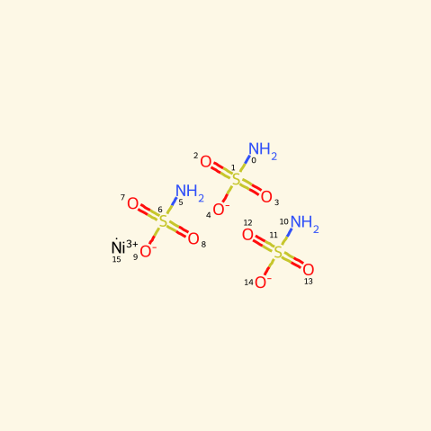 NS(=O)(=O)[O-].NS(=O)(=O)[O-].NS(=O)(=O)[O-].[Ni+3]